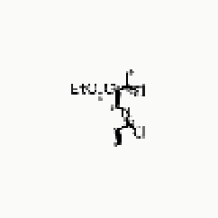 C=C/C(Cl)=N\C=C(\C(=O)OCC)C(C)Cl